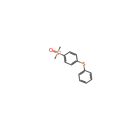 C[S+](C)(=O)c1ccc(Sc2ccccc2)cc1